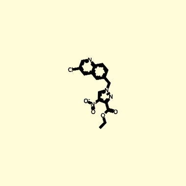 CCOC(=O)c1nn(Cc2ccc3ncc(Cl)cc3c2)cc1[N+](=O)[O-]